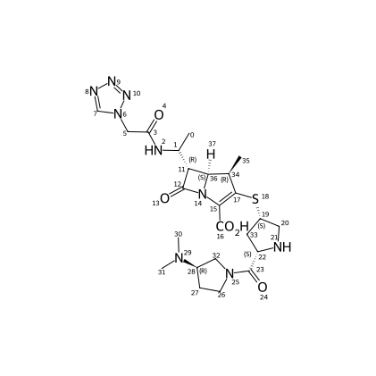 CC(NC(=O)Cn1cnnn1)[C@H]1C(=O)N2C(C(=O)O)=C(S[C@@H]3CN[C@H](C(=O)N4CC[C@@H](N(C)C)C4)C3)[C@H](C)[C@H]12